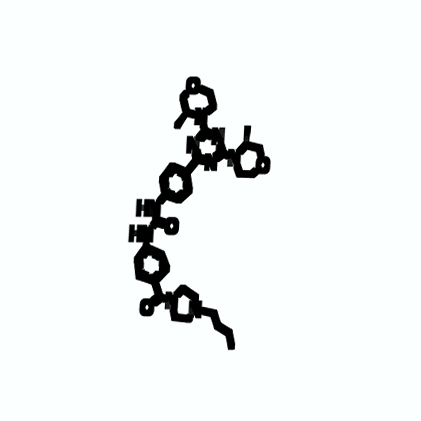 CCCCN1CCN(C(=O)c2ccc(NC(=O)Nc3ccc(-c4nc(N5CCOC[C@@H]5C)nc(N5CCOC[C@@H]5C)n4)cc3)cc2)CC1